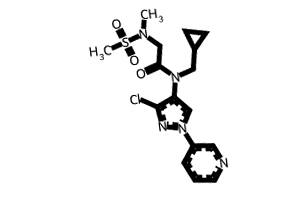 CN(CC(=O)N(CC1CC1)c1cn(-c2cccnc2)nc1Cl)S(C)(=O)=O